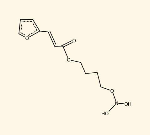 O=C(/C=C/c1ccco1)OCCCCON(O)O